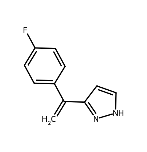 C=C(c1ccc(F)cc1)c1cc[nH]n1